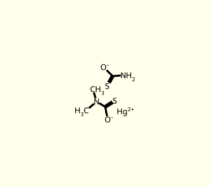 CN(C)C([O-])=S.NC([O-])=S.[Hg+2]